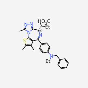 CCC(C(=O)O)[C@@H]1N=C(c2ccc(N(CC)Cc3ccccc3)cc2)c2c(sc(C)c2C)-n2c(C)nnc21